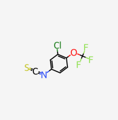 FC(F)(F)Oc1ccc(N=C=S)cc1Cl